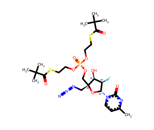 Cc1ccn([C@@H]2O[C@](CN=[N+]=[N-])(COP(=O)(OCCSC(=O)C(C)(C)C)OCCSC(=O)C(C)(C)C)[C@@H](O)[C@H]2F)c(=O)n1